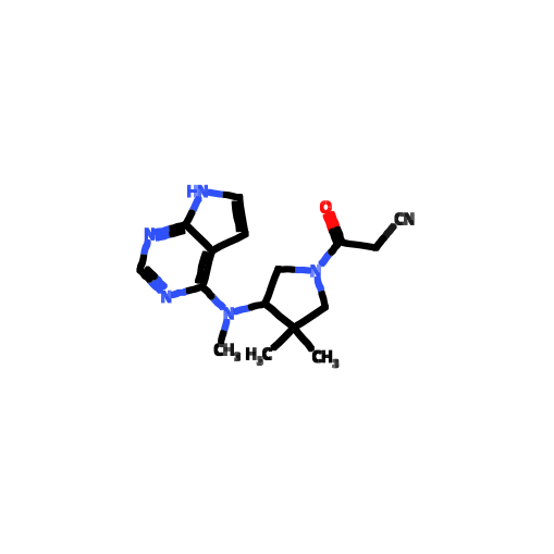 CN(c1ncnc2[nH]ccc12)C1CN(C(=O)CC#N)CC1(C)C